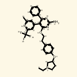 CCN1CCC(Oc2ccc(CCOc3nc(N)nc(-c4ccccc4)c3-c3cc(C)nc(C(F)(F)F)c3)cc2)C1